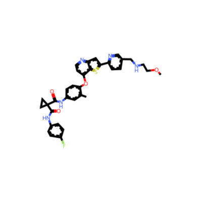 COCCNCc1ccc(-c2cc3nccc(Oc4ccc(NC(=O)C5(C(=O)Nc6ccc(F)cc6)CC5)cc4C)c3s2)nc1